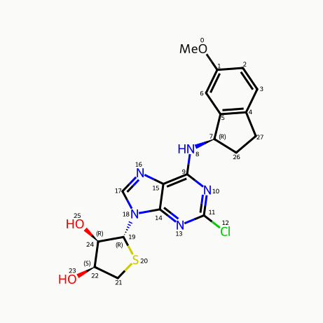 COc1ccc2c(c1)[C@H](Nc1nc(Cl)nc3c1ncn3[C@@H]1SC[C@@H](O)[C@H]1O)CC2